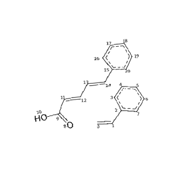 C=Cc1ccccc1.O=C(O)C=CC=Cc1ccccc1